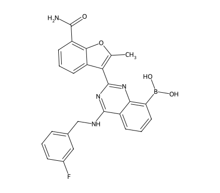 Cc1oc2c(C(N)=O)cccc2c1-c1nc(NCc2cccc(F)c2)c2cccc(B(O)O)c2n1